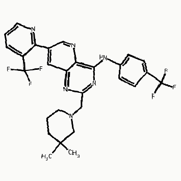 CC1(C)CCCN(Cc2nc(Nc3ccc(C(F)(F)F)cc3)c3ncc(-c4ncccc4C(F)(F)F)cc3n2)C1